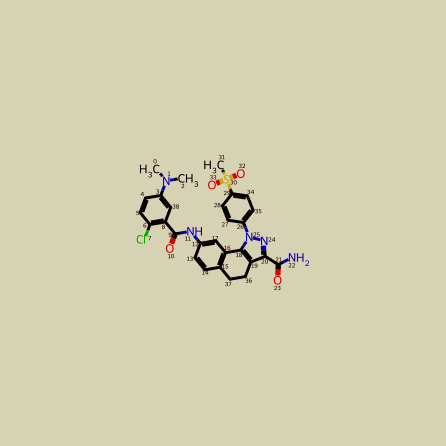 CN(C)c1ccc(Cl)c(C(=O)Nc2ccc3c(c2)-c2c(c(C(N)=O)nn2-c2ccc(S(C)(=O)=O)cc2)CC3)c1